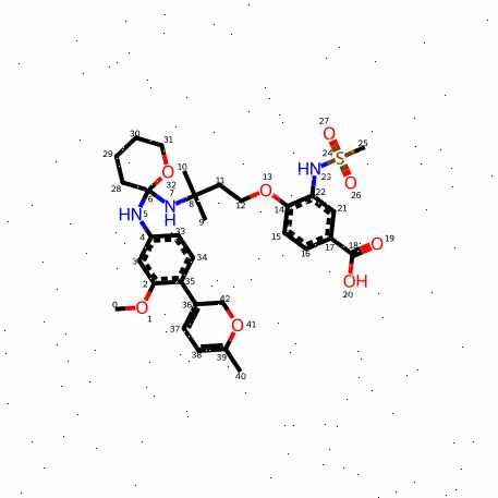 COc1cc(NC2(NC(C)(C)CCOc3ccc(C(=O)O)cc3NS(C)(=O)=O)CCCCO2)ccc1C1=CC=C(C)OC1